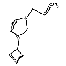 C=CCN1C=CN(C2C=CC2)C1